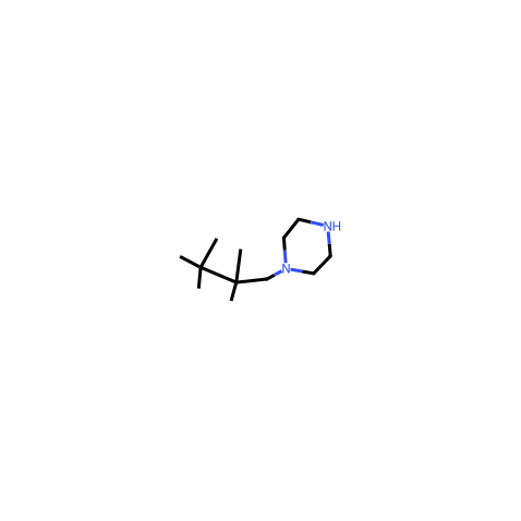 CC(C)(C)C(C)(C)CN1CCNCC1